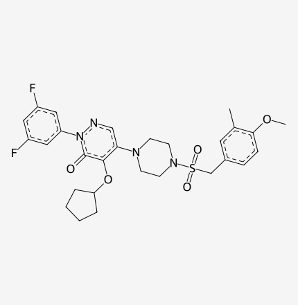 COc1ccc(CS(=O)(=O)N2CCN(c3cnn(-c4cc(F)cc(F)c4)c(=O)c3OC3CCCC3)CC2)cc1C